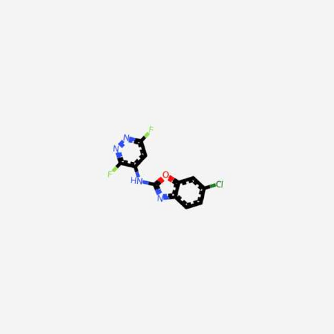 Fc1cc(Nc2nc3ccc(Cl)cc3o2)c(F)nn1